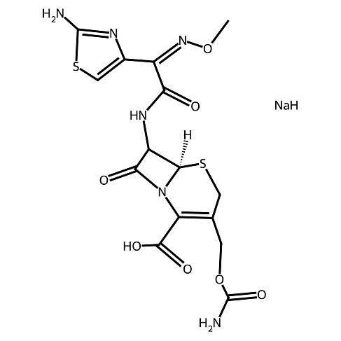 CO/N=C(\C(=O)NC1C(=O)N2C(C(=O)O)=C(COC(N)=O)CS[C@H]12)c1csc(N)n1.[NaH]